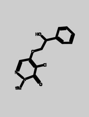 CC(C)(C)n1ncc(OCC(O)c2ccccc2)c(Cl)c1=O